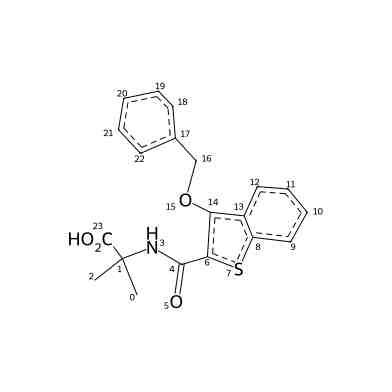 CC(C)(NC(=O)c1sc2ccccc2c1OCc1ccccc1)C(=O)O